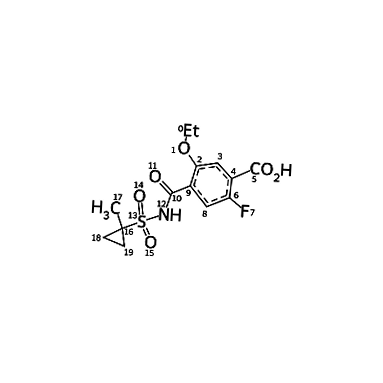 CCOc1cc(C(=O)O)c(F)cc1C(=O)NS(=O)(=O)C1(C)CC1